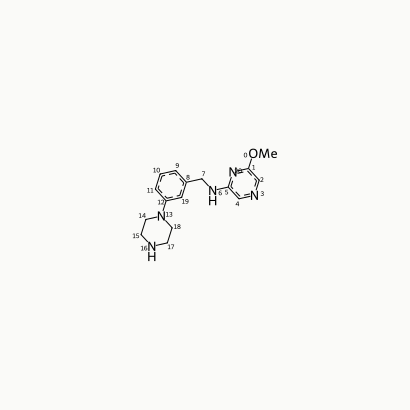 COc1cncc(NCc2cccc(N3CCNCC3)c2)n1